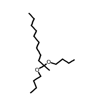 CCCCCCCCCC(C)(OCCCC)OCCCC